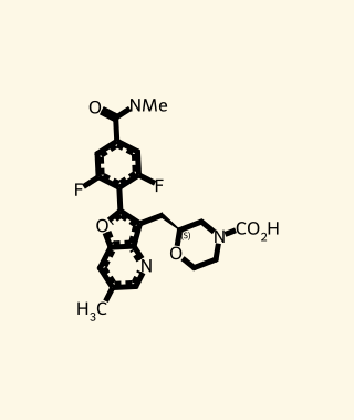 CNC(=O)c1cc(F)c(-c2oc3cc(C)cnc3c2C[C@H]2CN(C(=O)O)CCO2)c(F)c1